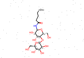 CCCCCCCCCCCCCC(=O)NC1O[C@H](CO)[C@@H](O[C@@H]2O[C@H](CO)[C@@H](O)[C@H](O)[C@@H]2O)[C@H](O)[C@@H]1O